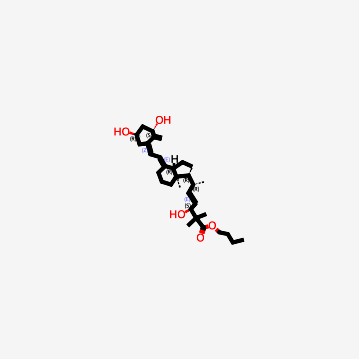 C=C1/C(=C\C=C2/CCC[C@]3(C)[C@@H]([C@H](C)/C=C/[C@H](O)C(C)(C)C(=O)OCCCC)CC[C@@H]23)C[C@@H](O)C[C@@H]1O